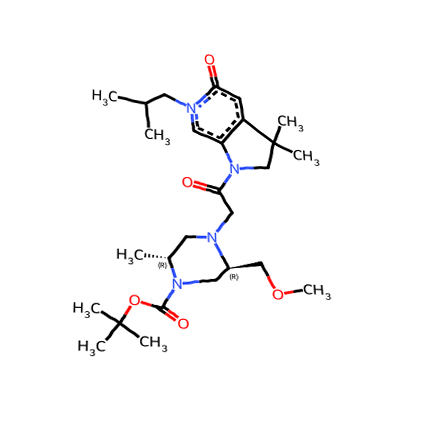 COC[C@H]1CN(C(=O)OC(C)(C)C)[C@H](C)CN1CC(=O)N1CC(C)(C)c2cc(=O)n(CC(C)C)cc21